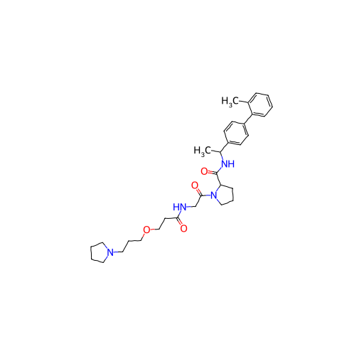 Cc1ccccc1-c1ccc(C(C)NC(=O)C2CCCN2C(=O)CNC(=O)CCOCCCN2CCCC2)cc1